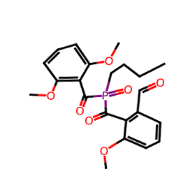 CCCCP(=O)(C(=O)c1c(C=O)cccc1OC)C(=O)c1c(OC)cccc1OC